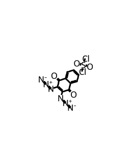 O=S(=O)(Cl)Cl.[N-]=[N+]=NC1=C(N=[N+]=[N-])C(=O)c2ccccc2C1=O